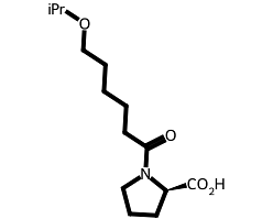 CC(C)OCCCCCC(=O)N1CCC[C@@H]1C(=O)O